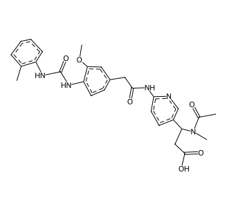 COc1cc(CC(=O)Nc2ccc(C(CC(=O)O)N(C)C(C)=O)cn2)ccc1NC(=O)Nc1ccccc1C